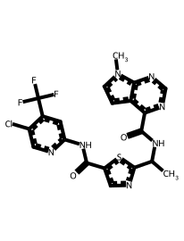 CC(NC(=O)c1ncnc2c1ccn2C)c1ncc(C(=O)Nc2cc(C(F)(F)F)c(Cl)cn2)s1